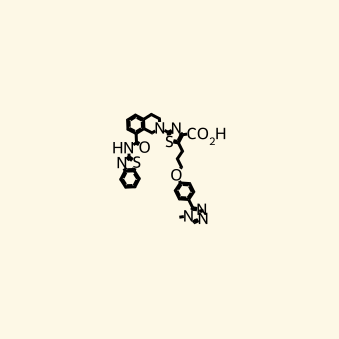 Cn1cnnc1-c1ccc(OCCCc2sc(N3CCc4cccc(C(=O)Nc5nc6ccccc6s5)c4C3)nc2C(=O)O)cc1